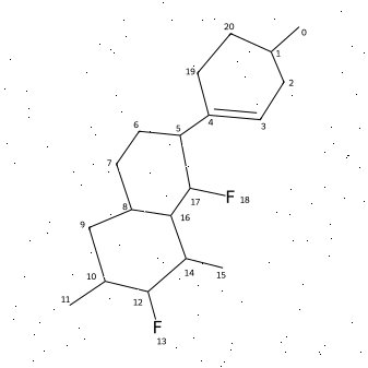 CC1CC=C(C2CCC3CC(C)C(F)C(C)C3C2F)CC1